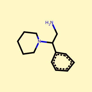 NCC(c1ccccc1)N1CCCCC1